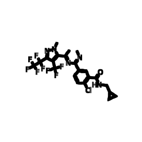 C/N=C(\N=C(/C)c1c(C(F)(F)F)c(C(F)(F)C(F)(F)F)nn1C)c1ccc(Cl)c(C(=O)NCC2CC2)c1